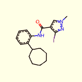 Cn1cc(C(=O)Nc2ccccc2C2CCCCCC2)c(I)n1